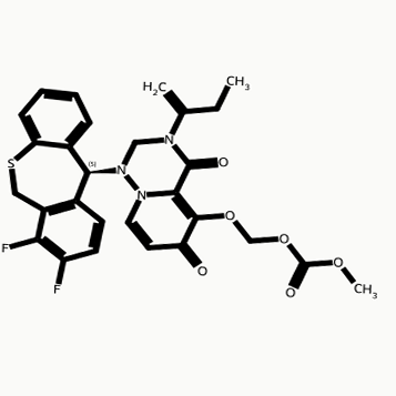 C=C(CC)N1CN([C@@H]2c3ccccc3SCc3c2ccc(F)c3F)n2ccc(=O)c(OCOC(=O)OC)c2C1=O